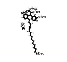 CCCCCCCCCCCCCCCCCCCCCC#CCCCc1ccccc1C(=C(CCCCCCCC)C(=C=[N+]=[N-])CCCCCC)c1cccc(CCCCCC)c1.C[CH2][Pd][CH2]C